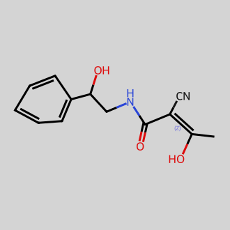 C/C(O)=C(\C#N)C(=O)NCC(O)c1ccccc1